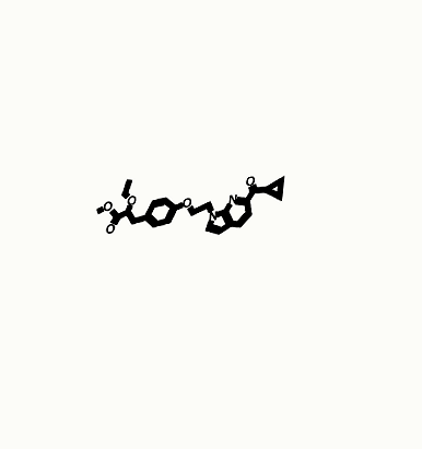 CCOC(Cc1ccc(OCCn2ccc3ccc(C(=O)C4CC4)nc32)cc1)C(=O)OC